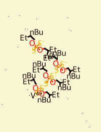 CCCCC(CC)COP(=S)([S-])OCC(CC)CCCC.CCCCC(CC)COP(=S)([S-])OCC(CC)CCCC.CCCCC(CC)COP(=S)([S-])OCC(CC)CCCC.CCCCC(CC)COP(=S)([S-])OCC(CC)CCCC.[V+4]